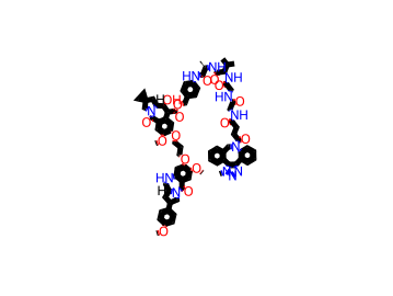 COc1ccc(C2C[C@H]3CNc4cc(OCCCOc5cc6c(cc5OC)C(=O)N5CC7(CC7)C[C@H]5[C@H](O)C6C(=O)OCc5ccc(NC(=O)[C@H](C)NC(=O)[C@@H](NC(=O)CNC(=O)CNC(=O)CCC(=O)N6Cc7ccccc7-c7c(nnn7C)-c7ccccc76)C(C)C)cc5)c(OC)cc4C(=O)N3C2)cc1